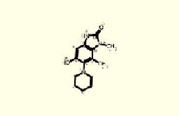 Cc1c(N2CCCCC2)c(O)cc2[nH]c(=O)n(C)c12